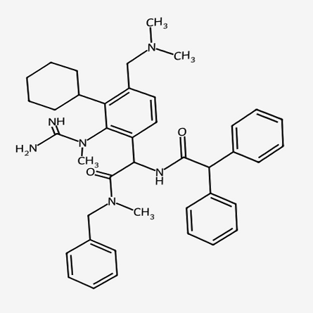 CN(C)Cc1ccc(C(NC(=O)C(c2ccccc2)c2ccccc2)C(=O)N(C)Cc2ccccc2)c(N(C)C(=N)N)c1C1CCCCC1